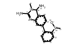 CN1C(N)=Nc2cc(-c3ccccc3[S+](C)[O-])ccc2C1N